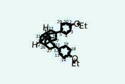 CCOc1ccc(C23CC4C56CC7(c8ccc(OCC)cc8)CC([C@H]5C2)[C@@H](C3)C4(C7)C6)cc1